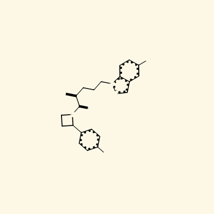 C=C(CCCn1ncc2cc(C#N)ccc21)C(=O)N1CCC1c1ccc(Cl)cc1